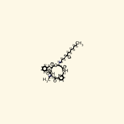 C/C=C1\NC(=O)c2cccc(n2)CNC(=O)C[C@@H](/C=C/CCSC(=O)CCCCCCC)OC(=O)[C@H](Cc2ccccc2)NC1=O